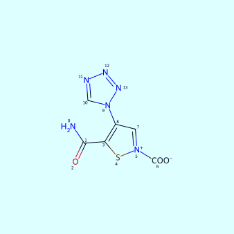 NC(=O)c1s[n+](C(=O)[O-])cc1-n1cnnn1